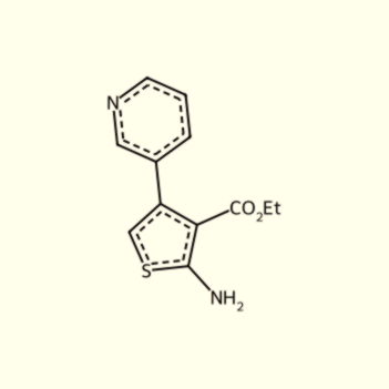 CCOC(=O)c1c(-c2cccnc2)csc1N